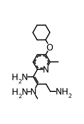 Cc1nc(/C(N)=C(\CCN)N(C)N)ccc1OC1CCCCC1